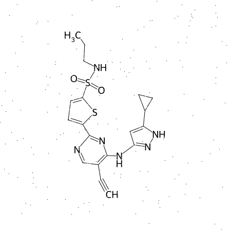 C#Cc1cnc(-c2ccc(S(=O)(=O)NCCC)s2)nc1Nc1cc(C2CC2)[nH]n1